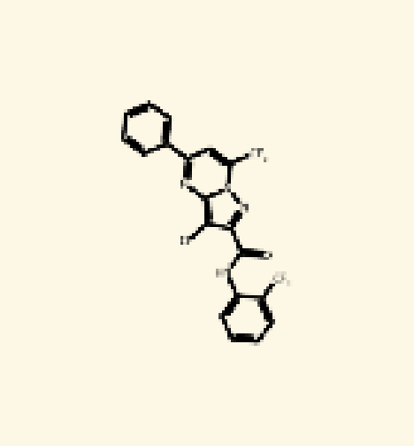 O=C(Nc1ccccc1C(F)(F)F)c1nn2c(C(F)(F)F)cc(-c3ccccc3)nc2c1Cl